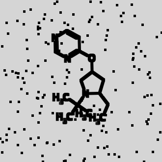 CCC1CC(Oc2ccncn2)CN1C(C)(C)C